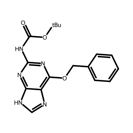 CC(C)(C)OC(=O)Nc1nc(OCc2ccccc2)c2nc[nH]c2n1